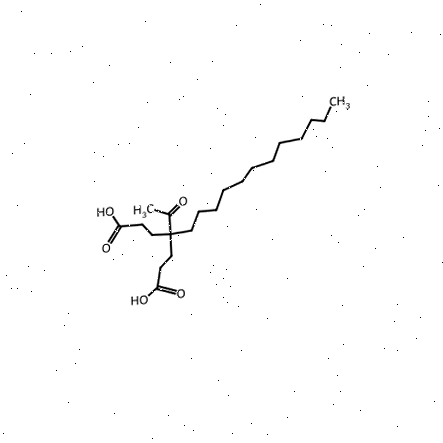 CCCCCCCCCCCCC(CCC(=O)O)(CCC(=O)O)C(C)=O